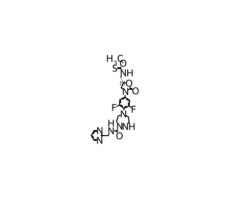 COC(=S)NC[C@H]1CN(c2cc(F)c(N3CCNN(C(=O)NCc4ncccn4)CC3)c(F)c2)C(=O)O1